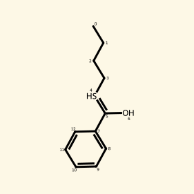 CCCC[SH]=C(O)c1ccccc1